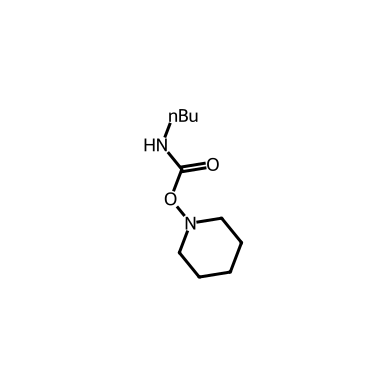 CCCCNC(=O)ON1CCCCC1